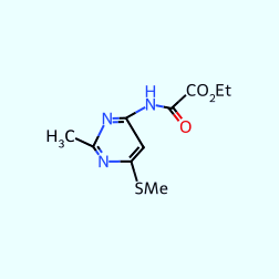 CCOC(=O)C(=O)Nc1cc(SC)nc(C)n1